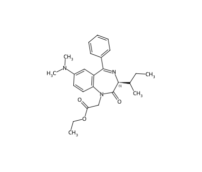 CCOC(=O)CN1C(=O)[C@H](C(C)CC)N=C(c2ccccc2)c2cc(N(C)C)ccc21